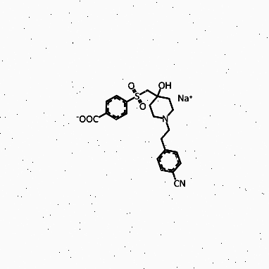 N#Cc1ccc(CCN2CCC(O)(CS(=O)(=O)c3ccc(C(=O)[O-])cc3)CC2)cc1.[Na+]